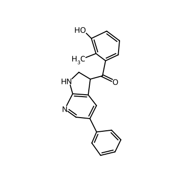 Cc1c(O)cccc1C(=O)C1CNc2ncc(-c3ccccc3)cc21